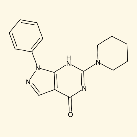 O=c1nc(N2CCCCC2)[nH]c2c1cnn2-c1ccccc1